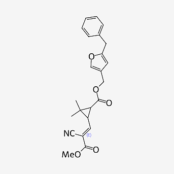 COC(=O)/C(C#N)=C/C1C(C(=O)OCc2coc(Cc3ccccc3)c2)C1(C)C